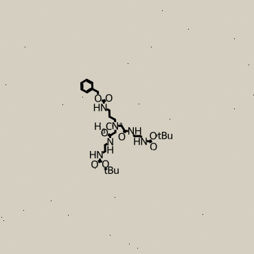 CC(C)(C)OC(=O)NCCNC(=O)C[N+](C)(CCCNC(=O)OCc1ccccc1)CC(=O)NCCNC(=O)OC(C)(C)C